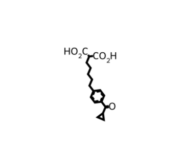 O=C(c1ccc(CCCCCC(C(=O)O)C(=O)O)cc1)C1CC1